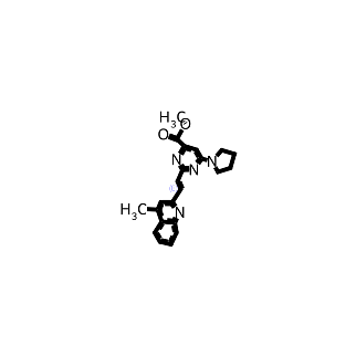 COC(=O)c1cc(N2CCCC2)nc(/C=C/c2cc(C)c3ccccc3n2)n1